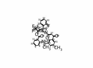 Cc1cc(C(C)Nc2ccccc2C(=O)OC(=O)C(F)(F)F)c2oc(N3CC(C)(c4ccccc4F)C3)cc(=O)c2c1